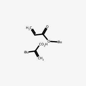 C=C(C(=O)O)C(C)CC.C=CC(=O)OC(C)CC